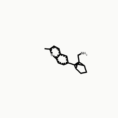 Cc1ccc2cc(C3=C(CN)C4CCC3C4)ccc2n1